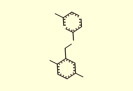 Fc1ccc(F)c(COc2cncc(Cl)n2)c1